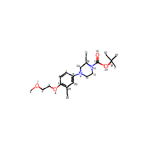 COCCOc1ccc(N2CCN(C(=O)OC(C)(C)C)C(C)C2)cc1C